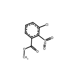 COC(=O)c1cccc(Cl)c1[SH](=O)=O